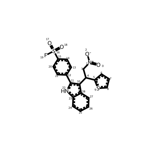 O=[N+]([O-])CC(c1cccs1)c1c(-c2ccc(S(=O)(=O)F)cc2)[nH]c2ccccc12